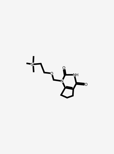 C[Si](C)(C)CCOCn1c2c(c(=O)[nH]c1=O)CCC2